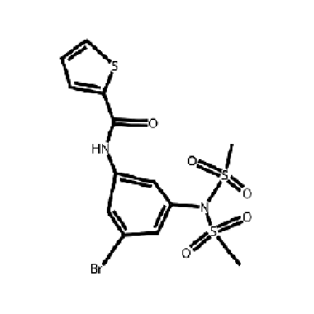 CS(=O)(=O)N(c1cc(Br)cc(NC(=O)c2cccs2)c1)S(C)(=O)=O